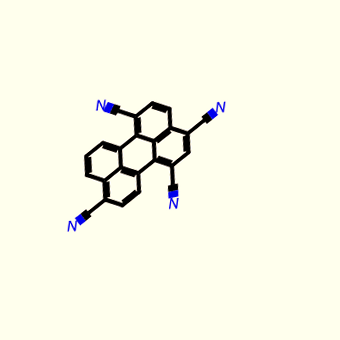 N#Cc1ccc2c3c(C#N)cc(C#N)c4ccc(C#N)c(c5cccc1c52)c43